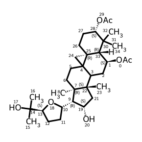 CC(=O)O[C@H]1CC2C3(CC[C@]4(C)[C@@H](C5CC[C@@H](C(C)(C)O)O5)[C@@H](O)C[C@@]24C)C[C@@]32CC[C@H](OC(C)=O)C(C)(C)[C@H]12